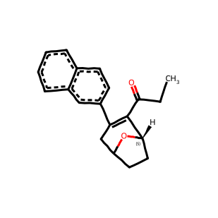 CCC(=O)C1=C(c2ccc3ccccc3c2)CC2CC[C@@H]1O2